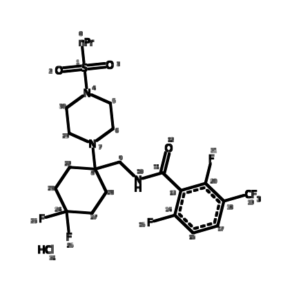 CCCS(=O)(=O)N1CCN(C2(CNC(=O)c3c(F)ccc(C(F)(F)F)c3F)CCC(F)(F)CC2)CC1.Cl